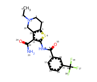 CCN1CCc2sc(NC(=O)c3cccc(C(F)(F)F)c3)c(C(N)=O)c2C1